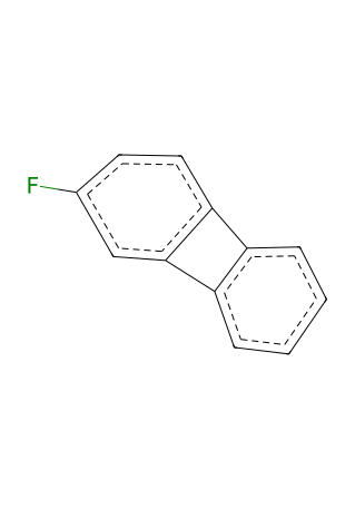 Fc1ccc2c(c1)-c1ccccc1-2